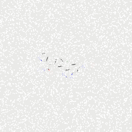 NC(=O)C(c1cccnc1)c1cc(-c2ncnc3cc(N4CCOCC4)ccc23)c(F)cc1Cl